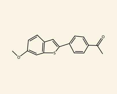 COc1ccc2cc(-c3ccc(C(C)=O)cc3)sc2c1